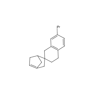 CC(C)c1ccc2c(c1)CC1(CC2)CC2=CCC1C2